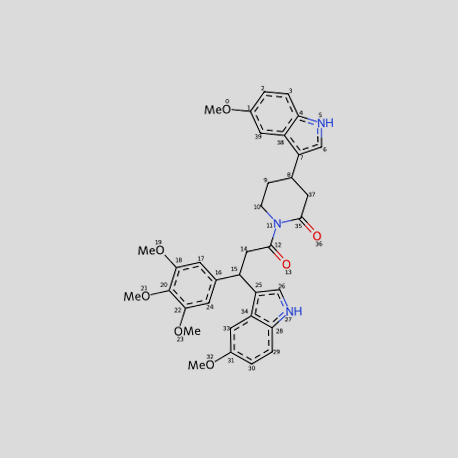 COc1ccc2[nH]cc(C3CCN(C(=O)CC(c4cc(OC)c(OC)c(OC)c4)c4c[nH]c5ccc(OC)cc45)C(=O)C3)c2c1